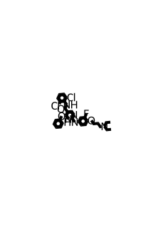 CCN(CC)CCCOc1ccc(Nc2ncc(C(=O)Nc3c(Cl)cccc3Cl)c(Oc3ccccc3)n2)cc1F